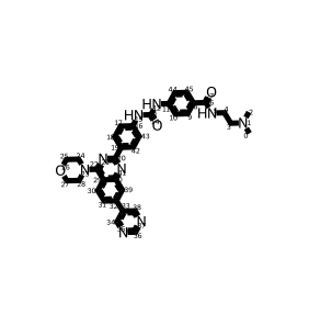 CN(C)CCNC(=O)c1ccc(NC(=O)Nc2ccc(-c3nc(N4CCOCC4)c4ccc(-c5cncnc5)cc4n3)cc2)cc1